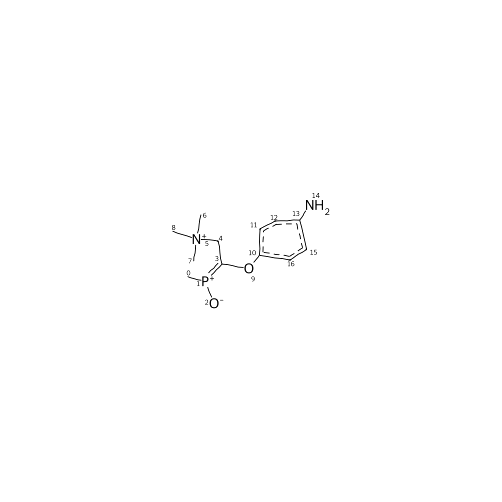 C/[P+]([O-])=C(\C[N+](C)(C)C)Oc1ccc(N)cc1